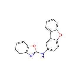 C1=Cc2oc(Nc3ccc4oc5ccccc5c4c3)nc2CC1